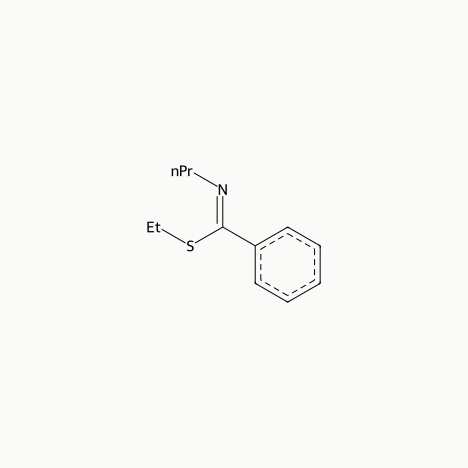 CCCN=C(SCC)c1ccccc1